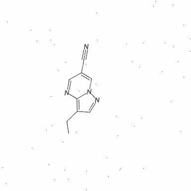 CCc1cnn2cc(C#N)cnc12